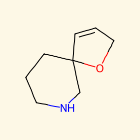 C1=CC2(CCCNC2)OC1